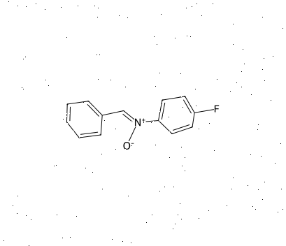 [O-][N+](=Cc1ccccc1)c1ccc(F)cc1